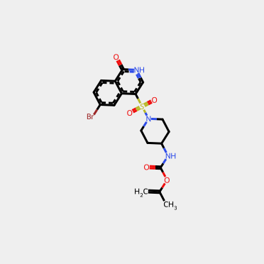 C=C(C)OC(=O)NC1CCN(S(=O)(=O)c2c[nH]c(=O)c3ccc(Br)cc23)CC1